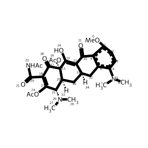 COc1ccc(N(C)C)c2c1C(=O)C1=C(O)[C@]3(OC(C)=O)C(=O)C(C(=O)NC(C)=O)=C(OC(C)=O)[C@@H](N(C)C)[C@@H]3C[C@@H]1C2